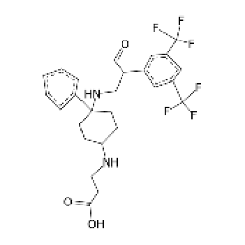 O=CC(CNC1(c2ccccc2)CCC(NCCC(=O)O)CC1)c1cc(C(F)(F)F)cc(C(F)(F)F)c1